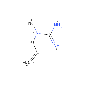 C=CCN(C#N)C(=N)N